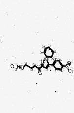 C[S+]([O-])c1ccc(-c2cc(C(=O)CCCO[N+](=O)[O-])nn2-c2ccccc2)cc1